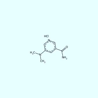 CN(C)c1cncc(C(N)=O)c1.Cl